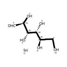 O=C[C@@H](O)[C@@H](O)[C@H](O)[C@H](O)CO.[Sn]